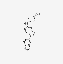 OC1CCC(Nc2ncc3c(-c4cnc5nccn5c4)ccn3n2)CC1